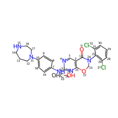 O=C1c2cnc(Nc3ccc(N4CCCNCC4)cc3)nc2OCN1c1c(Cl)cccc1Cl.O=CO